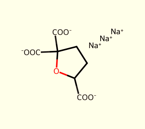 O=C([O-])C1CCC(C(=O)[O-])(C(=O)[O-])O1.[Na+].[Na+].[Na+]